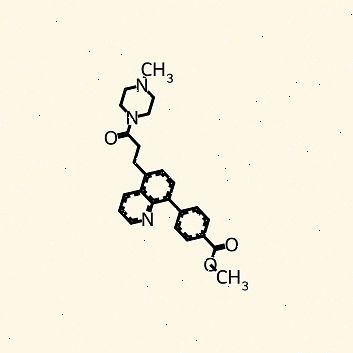 COC(=O)c1ccc(-c2ccc(CCC(=O)N3CCN(C)CC3)c3cccnc23)cc1